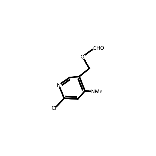 CNc1cc(Cl)ncc1COC=O